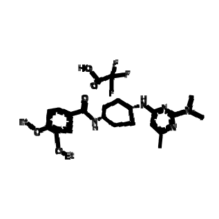 CCOc1ccc(C(=O)N[C@H]2CC[C@@H](Nc3cc(C)nc(N(C)C)n3)CC2)cc1OCC.O=C(O)C(F)(F)F